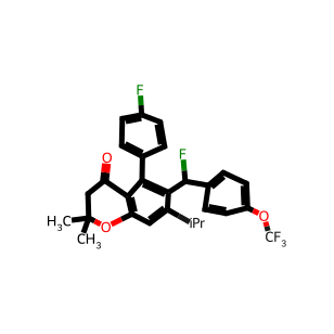 CC(C)c1cc2c(c(-c3ccc(F)cc3)c1C(F)c1ccc(OC(F)(F)F)cc1)C(=O)CC(C)(C)O2